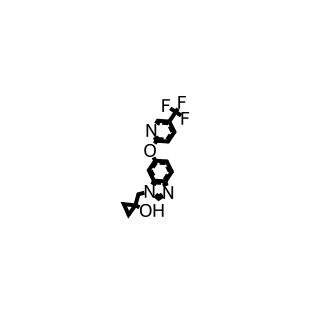 OC1(Cn2cnc3ccc(Oc4ccc(C(F)(F)F)cn4)cc32)CC1